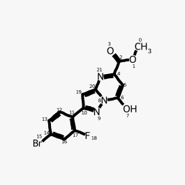 COC(=O)c1cc(O)n2nc(-c3ccc(Br)cc3F)cc2n1